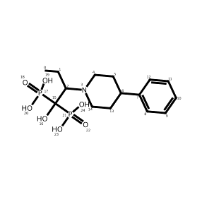 CCC(N1CCC(c2ccccc2)CC1)C(O)(P(=O)(O)O)P(=O)(O)O